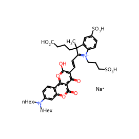 CCCCCCN(CCCCCC)c1ccc2c(c1)oc(=O)c1c(=O)c(C=CC3=[N+](CCCS(=O)(=O)O)c4ccc(S(=O)(=O)O)cc4C3(C)CCCC(=O)O)c(O)oc12.[Na+]